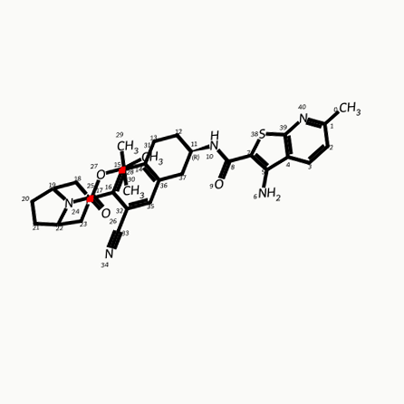 Cc1ccc2c(N)c(C(=O)N[C@@H]3CCc4cc(N5CC6CCC(C5)N6C(=O)OC(C)(C)C)c(C#N)cc4C3)sc2n1